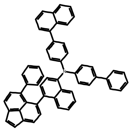 C1=Cc2ccc(-c3ccc(N(c4ccc(-c5ccccc5)cc4)c4ccc(-c5cccc6ccccc56)cc4)c4ccccc34)c3c(-c4ccccc4)ccc1c23